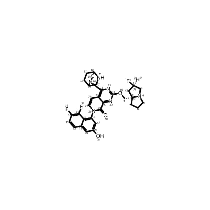 [2H][C@]1(F)CN2CCC[C@@]2(COc2nc(N3CC4CCC3CN4)c3ccn(-c4cc(O)cc5ccc(F)c(F)c45)c(=O)c3n2)C1